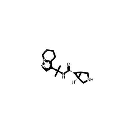 CC(C)(NC(=O)[C@@H]1C2CNC[C@H]21)c1cnn2c1CCCC2